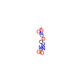 CC(C)OC(=O)N1CCC(Oc2cccc3c2CCN3c2ncc(S(C)(=O)=O)cn2)CC1